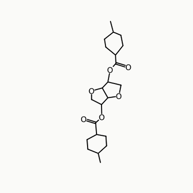 CC1CCC(C(=O)OC2COC3C(OC(=O)C4CCC(C)CC4)COC23)CC1